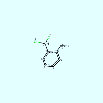 CCCCCc1ccccc1[SiH](Cl)Cl